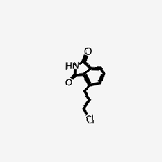 O=C1NC(=O)c2c(CCCCl)cccc21